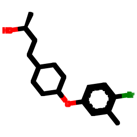 Cc1cc(OC2CCC(CC[C@H](C)O)CC2)ccc1Br